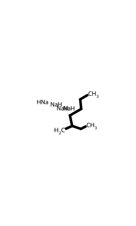 [CH2]C(CC)CCCC.[NaH].[NaH].[NaH].[NaH]